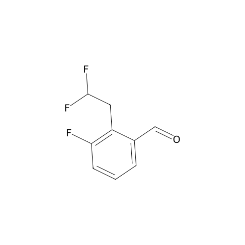 O=Cc1cccc(F)c1CC(F)F